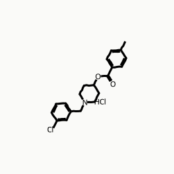 Cc1ccc(C(=O)OC2CCN(Cc3cccc(Cl)c3)CC2)cc1.Cl